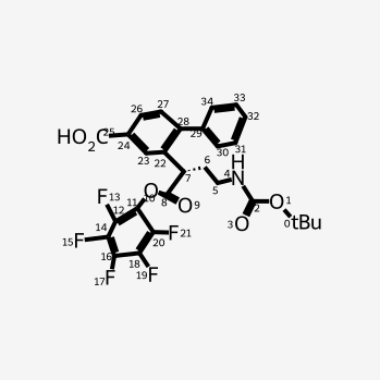 CC(C)(C)OC(=O)NCC[C@H](C(=O)Oc1c(F)c(F)c(F)c(F)c1F)c1cc(C(=O)O)ccc1-c1ccccc1